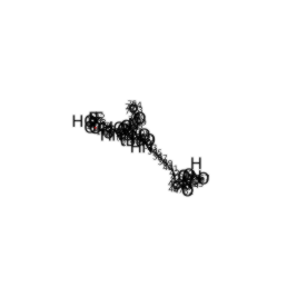 CC(C)(C)[C@H](NC(=O)c1cc2cc(C(F)(F)P(=O)(O)O)ccc2s1)C(=O)N1CCN(C(=O)CC(=O)NCCCCCCCCCC#Cc2cccc3c2C(=O)N(C2CCC(=O)NC2=O)C3=O)C[C@H]1C(=O)N1CCO[C@H](c2ccccc2)C1